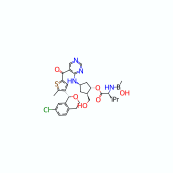 CB(O)N[C@H](C(=O)O[C@H]1C[C@H](Nc2ncncc2C(=O)c2cc([C@@H]3OCCc4ccc(Cl)cc43)c(C)s2)C[C@@H]1CO)C(C)C